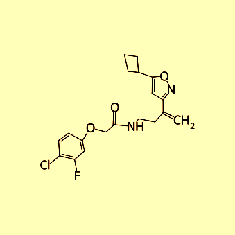 C=C(CCNC(=O)COc1ccc(Cl)c(F)c1)c1cc(C2CCC2)on1